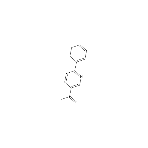 C=C(C)c1ccc(C2=CC=CCC2)nc1